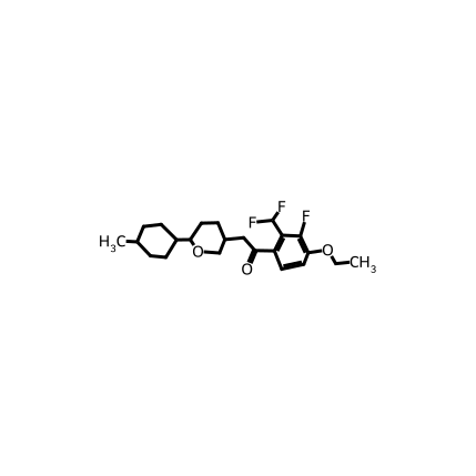 CCOc1ccc(C(=O)CC2CCC(C3CCC(C)CC3)OC2)c(C(F)F)c1F